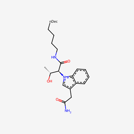 CCCCCCCCCCCCCCNC(=O)[C@H]([C@@H](C)O)n1cc(CC(N)=O)c2ccccc21